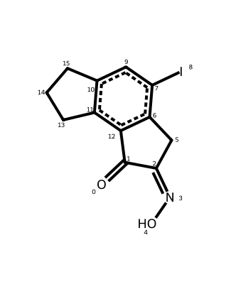 O=C1C(=NO)Cc2c(I)cc3c(c21)CCC3